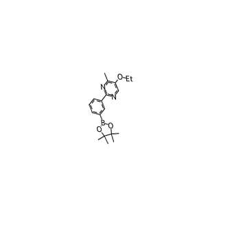 CCOc1cnc(-c2cccc(B3OC(C)(C)C(C)(C)O3)c2)nc1C